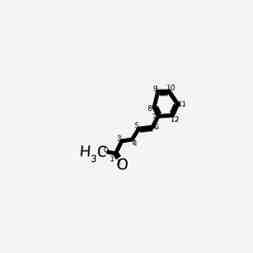 CC(=O)CC/C=C/c1ccccc1